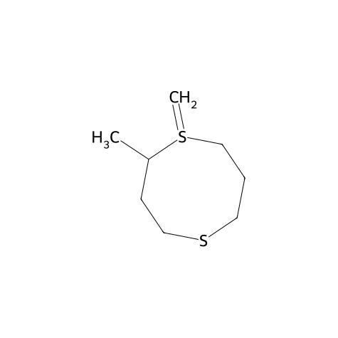 C=S1CCCSCCC1C